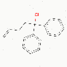 C=CCCC(O)(c1ccccc1)c1ccccc1